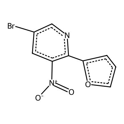 O=[N+]([O-])c1cc(Br)cnc1-c1ccco1